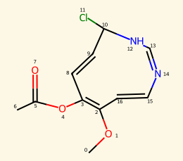 COC1=C(OC(C)=O)/C=C/C(Cl)N/C=N\C=C\1